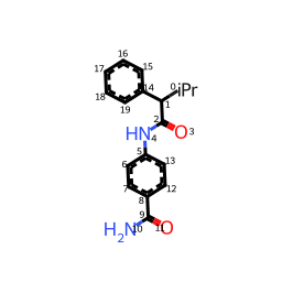 CC(C)C(C(=O)Nc1ccc(C(N)=O)cc1)c1ccccc1